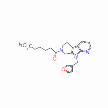 O=C(O)CCCCC(=O)N1CCc2c(n(Cc3ccoc3)c3ncccc23)C1